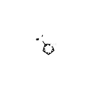 O=[13C](O)c1ccc[nH]1